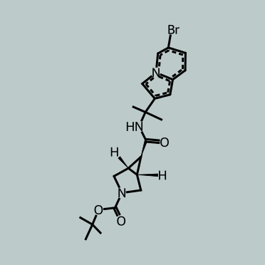 CC(C)(C)OC(=O)N1C[C@@H]2[C@H](C1)[C@H]2C(=O)NC(C)(C)c1cc2ccc(Br)cn2c1